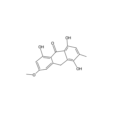 COc1cc(O)c2c(c1)Cc1c(O)c(C)cc(O)c1C2=O